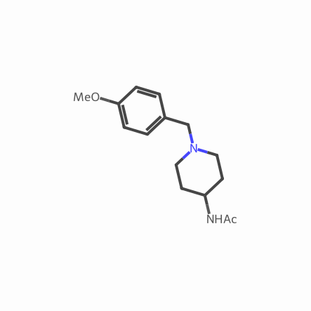 COc1ccc(CN2CCC(NC(C)=O)CC2)cc1